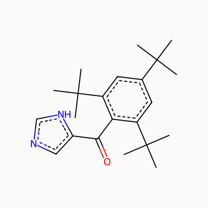 CC(C)(C)c1cc(C(C)(C)C)c(C(=O)c2cnc[nH]2)c(C(C)(C)C)c1